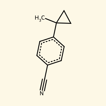 CC1(c2ccc(C#N)cc2)CC1